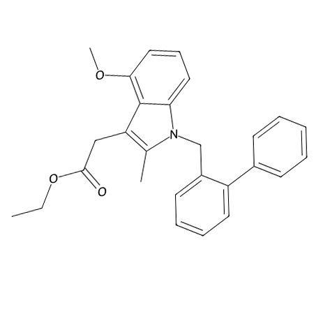 CCOC(=O)Cc1c(C)n(Cc2ccccc2-c2ccccc2)c2cccc(OC)c12